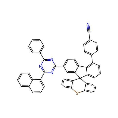 N#Cc1ccc(-c2cccc3c2-c2ccc(-c4nc(-c5ccccc5)nc(-c5cccc6ccccc56)n4)cc2C32c3ccccc3Sc3ccccc32)cc1